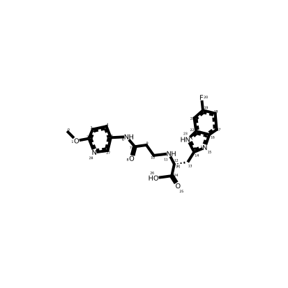 COc1ccc(NC(=O)CCN[C@H](Cc2nc3ccc(F)cc3[nH]2)C(=O)O)cn1